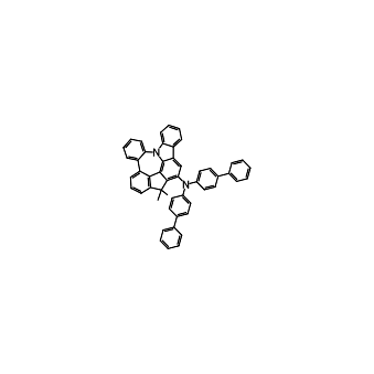 CC1(C)c2cccc3c2-c2c1c(N(c1ccc(-c4ccccc4)cc1)c1ccc(-c4ccccc4)cc1)cc1c4ccccc4n(c21)-c1ccccc1-3